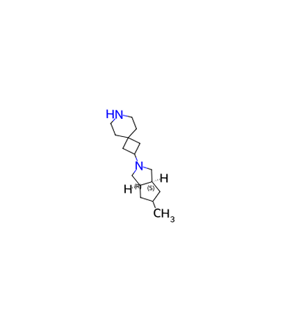 CC1C[C@@H]2CN(C3CC4(CCNCC4)C3)C[C@@H]2C1